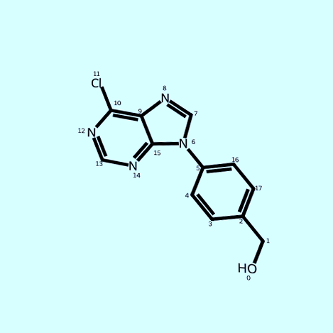 OCc1ccc(-n2cnc3c(Cl)ncnc32)cc1